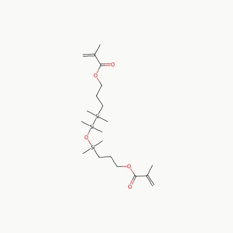 C=C(C)C(=O)OCCC[Si](C)(C)O[Si](C)(C)[Si](C)(C)CCCOC(=O)C(=C)C